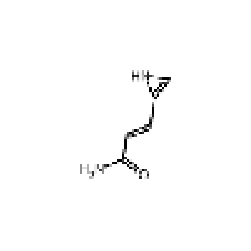 NC(=O)C=CC1=CN1